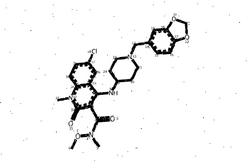 CON(C)C(=O)c1c(NC2CCN(Cc3ccc4c(c3)OCO4)CC2)c2cc(Cl)ccc2n(C)c1=O